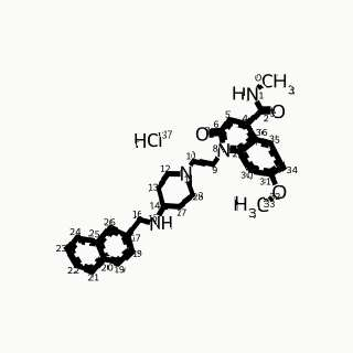 CNC(=O)c1cc(=O)n(CCN2CCC(NCc3ccc4ccccc4c3)CC2)c2cc(OC)ccc12.Cl